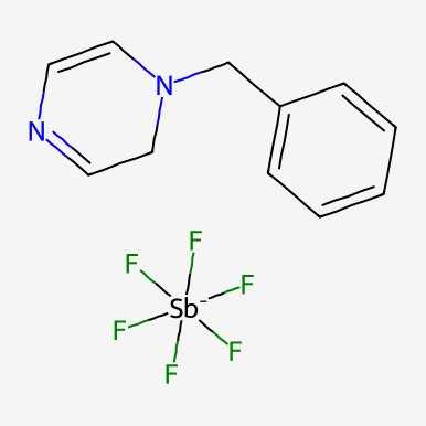 C1=CN(Cc2ccccc2)CC=N1.[F][Sb-]([F])([F])([F])([F])[F]